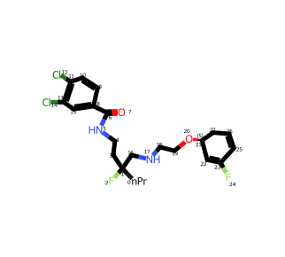 CCCC(F)(CCNC(=O)c1ccc(Cl)c(Cl)c1)CNCCO[C@@H]1C=C(F)C=CC1